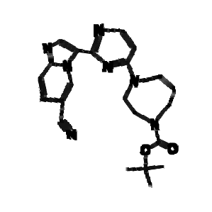 CC(C)(C)OC(=O)N1CCCN(c2ccnc(-c3cnc4ccc(C#N)cn34)n2)CC1